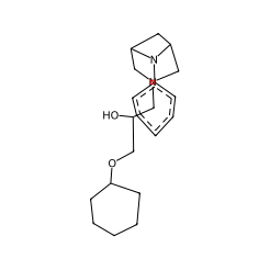 OC(COC1CCCCC1)CN1CC2CC(C1)N2c1ccccc1